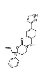 C=CC[C@]1(c2ccccc2)CCN([C@@H](C)c2ccc(-c3cc[nH]n3)cc2)C(=O)O1